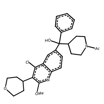 COc1nc2ccc(C(O)(c3ccccc3)C3CCN(C(C)=O)CC3)cc2c(Cl)c1C1CCOCC1